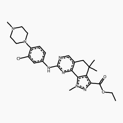 CCOC(=O)c1nn(C)c2c1C(C)(C)Cc1cnc(Nc3ccc(N4CCN(C)CC4)c(Cl)c3)nc1-2